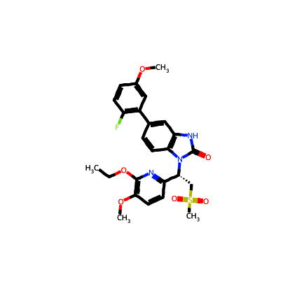 CCOc1nc([C@@H](CS(C)(=O)=O)n2c(=O)[nH]c3cc(-c4cc(OC)ccc4F)ccc32)ccc1OC